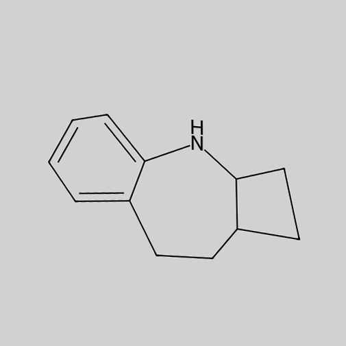 c1ccc2c(c1)CCC1CCC1N2